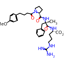 COc1ccc(CCCC(=O)N2CCC[C@H]2C(=O)N[C@@](C)(Cc2ccccc2)C(=O)N[C@@H](CCCNC(=N)N)C(=O)O)cc1